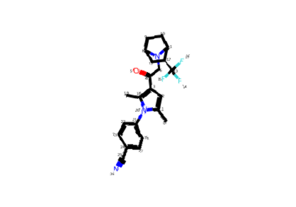 Cc1cc(C(=O)CN2C3CCC2[C@@H](C(F)(F)F)C3)c(C)n1-c1ccc(C#N)cc1